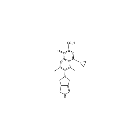 Cc1c(N2CC3=CNCC3C2)c(F)cn2c(=O)c(C(=O)O)cc(C3CC3)c12